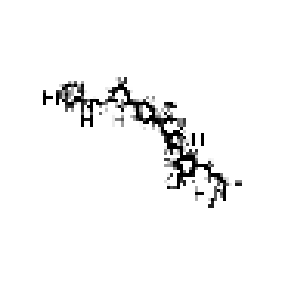 C[C@H](N)CCCc1cc(Cl)c(F)c(-c2cc3cn(-c4ccc([C@@H]5CCC[C@@H](CCNC6=NCCNC6)N5)cc4)c(=O)nc3[nH]2)c1